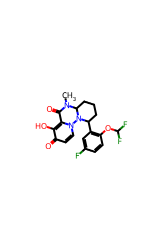 CN1C(=O)c2c(O)c(=O)ccn2N2C(c3cc(F)ccc3OC(F)F)CCCC12